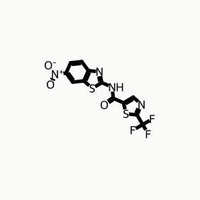 O=C(Nc1nc2ccc([N+](=O)[O-])cc2s1)c1cnc(C(F)(F)F)s1